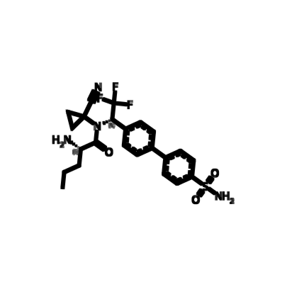 CCC[C@H](N)C(=O)N([C@@H](c1ccc(-c2ccc(S(N)(=O)=O)cc2)cc1)C(F)(F)F)C1(C#N)CC1